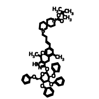 Cc1cc(/C=C/CCN2CCCC3(CCN(C(=O)OC(C)(C)C)CC3)C2)ccc1Cc1c(O[C@@H]2O[C@H](COc3ccccc3)[C@@H](Oc3ccccc3)[C@H](Oc3ccccc3)[C@H]2Oc2ccccc2)n[nH]c1C(C)C